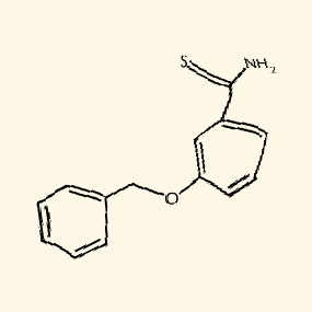 NC(=S)c1cccc(OCc2ccccc2)c1